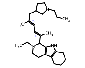 CCCN1CCC(C/C(C)=C/C=C(\C)C2c3[nH]c4c(c3CCN2CC)CCCC4)C1